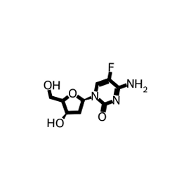 Nc1nc(=O)n([C@H]2C[C@@H](O)C(CO)O2)cc1F